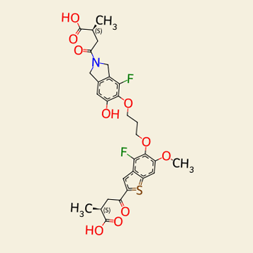 COc1cc2sc(C(=O)C[C@H](C)C(=O)O)cc2c(F)c1OCCCOc1c(O)cc2c(c1F)CN(C(=O)C[C@H](C)C(=O)O)C2